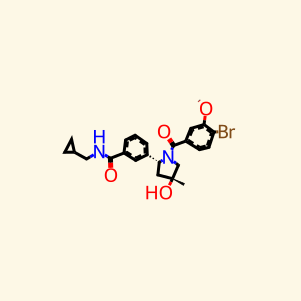 COc1cc(C(=O)N2C[C@](C)(O)C[C@@H]2c2cccc(C(=O)NCC3CC3)c2)ccc1Br